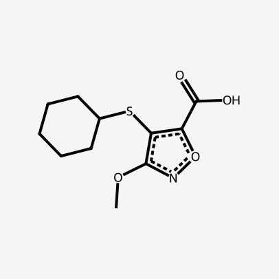 COc1noc(C(=O)O)c1SC1CCCCC1